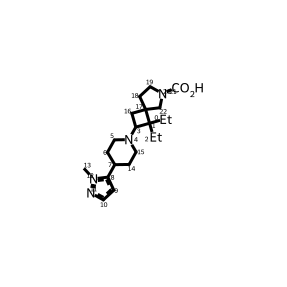 CCC1(CC)C(N2CCC(c3ccnn3C)CC2)CC12CCN(C(=O)O)C2